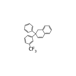 FC(F)(F)c1cccc(C2(c3ccccc3)C=Cc3ccccc3C2)c1